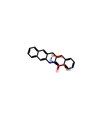 CC(C)(C)OC(=O)N1C2c3cc4ccccc4cc3C(c3cc4ccccc4cc32)[S+]1[O-]